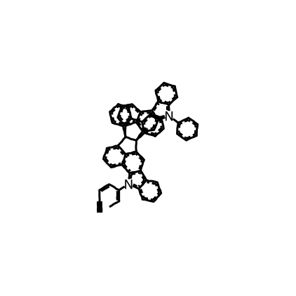 C#C/C=C\C(=C/C)n1c2ccccc2c2cc3c4c(cccc4c21)C12c4ccccc4-c4ccccc4C31c1cc3c(c4cccc2c14)c1ccccc1n3-c1ccccc1